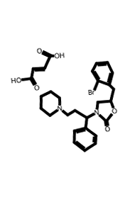 O=C(O)/C=C/C(=O)O.O=C1OC(Cc2ccccc2Br)CN1C(CCN1CCCCC1)c1ccccc1